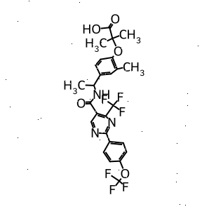 Cc1cc(C(C)NC(=O)c2cnc(-c3ccc(OC(F)(F)F)cc3)nc2C(F)(F)F)ccc1OC(C)(C)C(=O)O